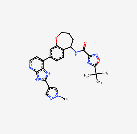 Cn1cc(-c2nc3c(-c4ccc5c(c4)OCCCC5NC(=O)c4noc(C(C)(C)C)n4)ccnc3[nH]2)cn1